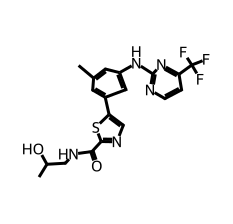 Cc1cc(Nc2nccc(C(F)(F)F)n2)cc(-c2cnc(C(=O)NCC(C)O)s2)c1